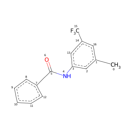 Cc1cc(NC(=O)c2ccccc2)cc(C(F)(F)F)c1